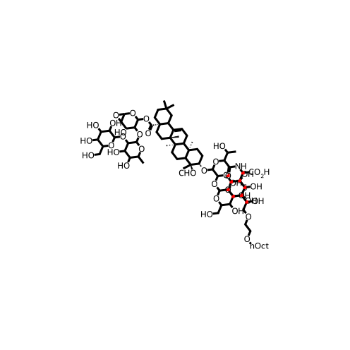 CCCCCCCCOCCOCC(O)CSCC(NC(=O)C(OC(O[C@H]1CC[C@@]2(C)C(CC[C@]3(C)C2CC=C2C4CC(C)(C)CC[C@]4(C(=O)OC4OC5OC5C(O)C4OC4OC(C)C(O)C(O)C4OC4OC(CO)C(O)C(O)C4O)CC[C@]23C)[C@]1(C)C=O)C(OC1OCC(O)C(O)C1O)OC1OC(CO)C(O)C(O)C1O)C(C)O)C(=O)O